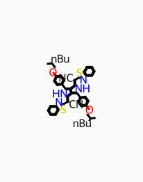 CCCCC(C)COc1ccc(-c2[nH]/c(=C(/C#N)c3nc4ccccc4s3)c3c(-c4ccc(OCC(C)CCCC)cc4)[nH]/c(=C(/C#N)c4nc5ccccc5s4)c23)cc1